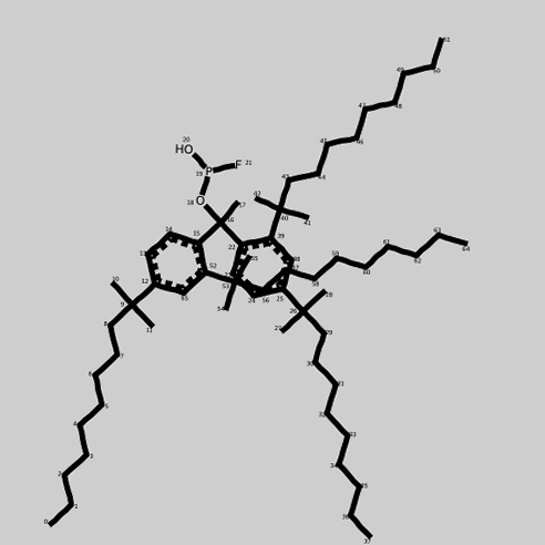 CCCCCCCCCC(C)(C)c1ccc(C(C)(OP(O)F)c2ccc(C(C)(C)CCCCCCCCC)cc2C(C)(C)CCCCCCCCC)c(C(C)(C)CCCCCCCCC)c1